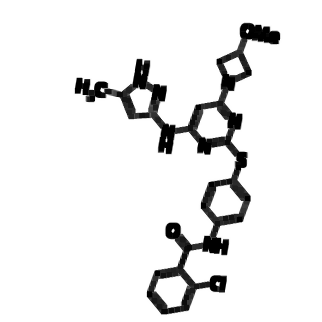 COC1CN(c2cc(Nc3cc(C)[nH]n3)nc(Sc3ccc(NC(=O)c4ccccc4Cl)cc3)n2)C1